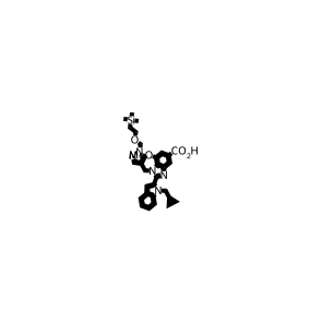 COc1cc(C(=O)O)cc2nc(-c3cc4ccccc4n3CC3CC3)n(Cc3cnn(COCC[Si](C)(C)C)c3)c12